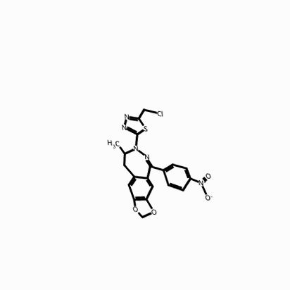 CC1Cc2cc3c(cc2C(c2ccc([N+](=O)[O-])cc2)=NN1c1nnc(CCl)s1)OCO3